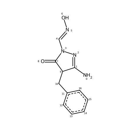 NC1=NN(C=NO)C(=O)C1Cc1ccccc1